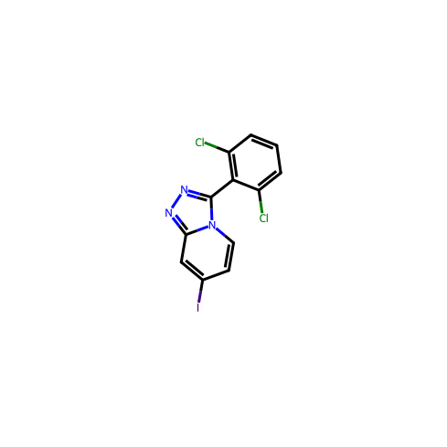 Clc1cccc(Cl)c1-c1nnc2cc(I)ccn12